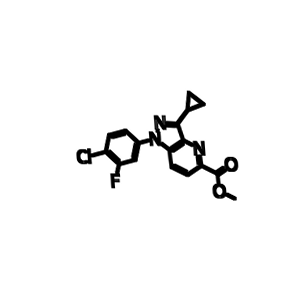 COC(=O)c1ccc2c(n1)c(C1CC1)nn2-c1ccc(Cl)c(F)c1